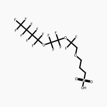 O=S(=O)(O)CCCOCC(F)(F)OC(F)(F)C(F)(F)OC(F)(F)C(F)(F)C(F)(F)C(F)(F)F